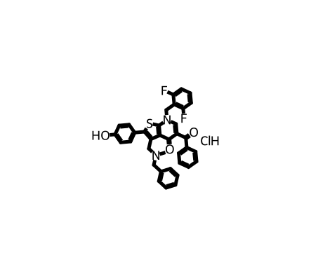 CN(Cc1ccccc1)Cc1c(-c2ccc(O)cc2)sc2c1c(=O)c(C(=O)c1ccccc1)cn2Cc1c(F)cccc1F.Cl